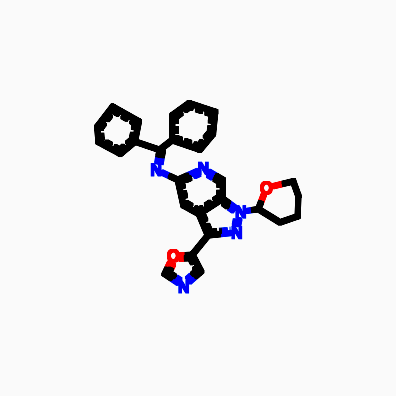 c1ccc(C(=Nc2cc3c(-c4cnco4)nn(C4CCCCO4)c3cn2)c2ccccc2)cc1